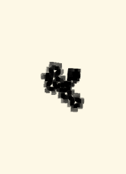 CN1c2ccccc2C(=Cc2oc3ccc(-c4ccccc4)cc3[n+]2C)c2ccccc21.F[B-](F)(F)F